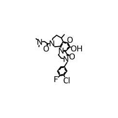 CC1CCN(C(=O)CN(C)C)Cc2c1c(=O)c(O)c1n2CCN(Cc2ccc(F)c(Cl)c2)C1=O